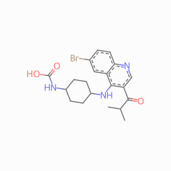 CC(C)C(=O)c1cnc2ccc(Br)cc2c1NC1CCC(NC(=O)O)CC1